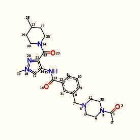 CC(=O)N1CCN(Cc2cccc(C(=O)Nc3cn(C)nc3C(=O)N3CCC(C)CC3)c2)CC1